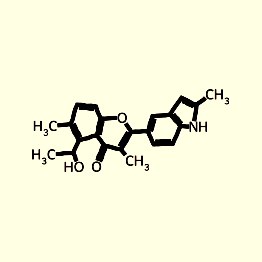 Cc1cc2cc(-c3oc4ccc(C)c(C(C)O)c4c(=O)c3C)ccc2[nH]1